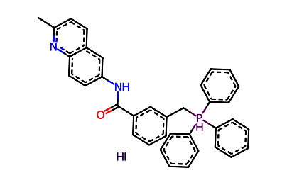 Cc1ccc2cc(NC(=O)c3cccc(C[PH](c4ccccc4)(c4ccccc4)c4ccccc4)c3)ccc2n1.I